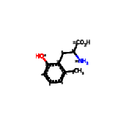 Cc1cccc(O)c1CC(N)C(=O)O